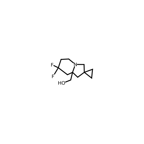 OCC12CC(F)(F)CCN1CC1(CC1)C2